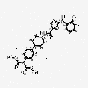 CC(C)OC(=O)C(C(=O)OC(C)C)c1ccc(C2CCC(NC(=O)c3nnc(Nc4ccccc4F)o3)CC2)cc1